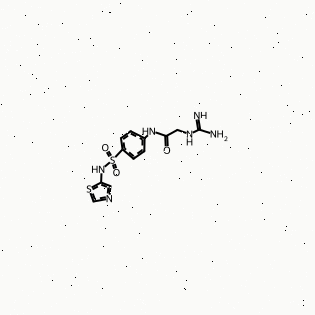 N=C(N)NCC(=O)Nc1ccc(S(=O)(=O)Nc2cncs2)cc1